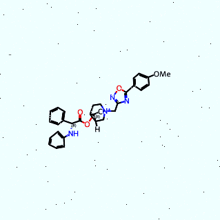 COc1ccc(-c2nc(C[N+]34CCC(CC3)[C@@H](OC(=O)[C@H](Nc3ccccc3)c3ccccc3)C4)no2)cc1